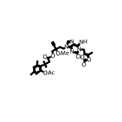 C#CC(CCn1cnc2c(=N)n(Cc3oc(=O)oc3C)c(Cl)nc21)(COC(=O)CC(C)(C)c1c(C)cc(C)cc1OC(C)=O)OC